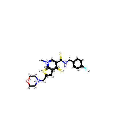 Cn1cc(C(=S)NCc2ccc(F)cc2)c(=S)c2cc(CN3CCOCC3)sc21